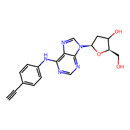 C#Cc1ccc(Nc2ncnc3c2ncn3[C@H]2CC(O)[C@@H](CO)O2)cc1